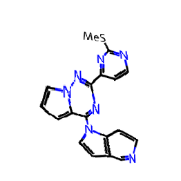 CSc1nccc(-c2nc(-n3ccc4cnccc43)c3cccn3n2)n1